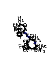 CCC(OC(=O)c1ccccc1)C(C)C1OC1CC(C)/C=C/C=C(\C)C1OC(=O)CC(O[Si](CC)(CC)CC)CCC(C)(O)C(OC(C)=O)/C=C/C1C